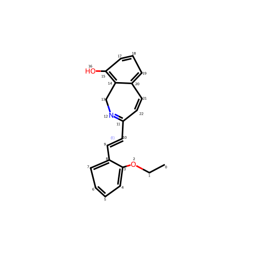 CCOc1ccccc1/C=C/C1=NCc2c(O)cccc2C=C1